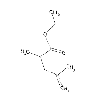 C=C(C)CC(C)C(=O)OCC